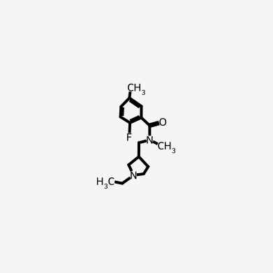 CCN1CCC(CN(C)C(=O)c2cc(C)ccc2F)C1